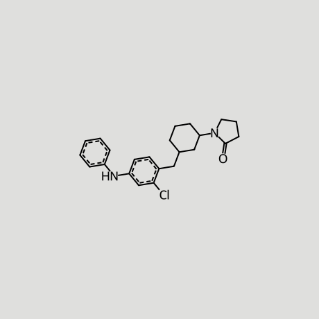 O=C1CCCN1C1CCCC(Cc2ccc(Nc3ccccc3)cc2Cl)C1